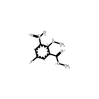 COC(=O)c1cc(F)cc([N+](=O)[O-])c1OC